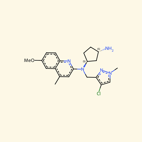 COc1ccc2nc(N(Cc3nn(C)cc3Cl)[C@H]3CC[C@H](N)C3)cc(C)c2c1